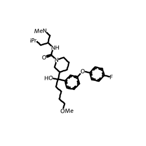 CNCC(CC(C)C)NC(=O)N1CCCC(C(O)(CCCCOC)c2cccc(Oc3ccc(F)cc3)c2)C1